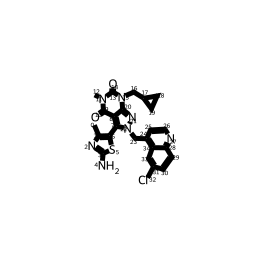 Cc1nc(N)sc1-c1c2c(=O)n(C)c(=O)n(CC3CC3)c2nn1Cc1ccnc2ccc(Cl)cc12